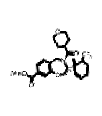 COC(=O)c1ccc2c(c1)OC[C@H](C1(C)C=CC=CC1C(F)(F)F)N(C(=O)C1CCOCC1)C2